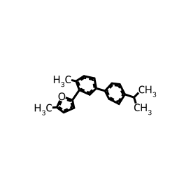 Cc1ccc(-c2cc(-c3ccc(C(C)C)cc3)ccc2C)o1